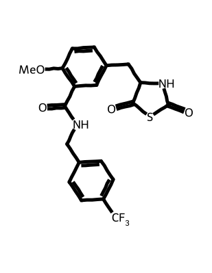 COc1ccc(CC2NC(=O)SC2=O)cc1C(=O)NCc1ccc(C(F)(F)F)cc1